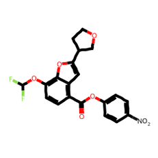 O=C(Oc1ccc([N+](=O)[O-])cc1)c1ccc(OC(F)F)c2oc(C3CCOC3)cc12